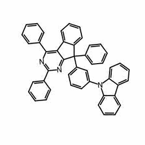 c1ccc(-c2nc(-c3ccccc3)c3c(n2)C(c2ccccc2)(c2cccc(-n4c5ccccc5c5ccccc54)c2)c2ccccc2-3)cc1